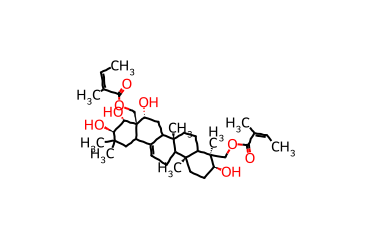 C/C=C(/C)C(=O)OC[C@@]12C(CC(C)(C)[C@@H](O)[C@@H]1O)C1=CCC3[C@@](C)(CCC4[C@]3(C)CC[C@H](O)[C@]4(C)COC(=O)/C(C)=C\C)C1C[C@H]2O